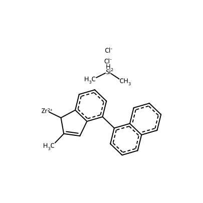 CC1=Cc2c(-c3cccc4ccccc34)cccc2[CH]1[Zr+2].C[SiH2]C.[Cl-].[Cl-]